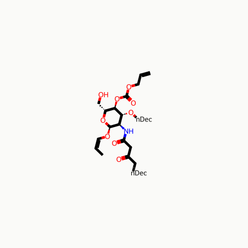 C=CCOC(=O)O[C@H]1[C@H](OCCCCCCCCCC)[C@@H](NC(=O)CC(=O)CCCCCCCCCCC)[C@@H](O/C=C\C)O[C@@H]1CO